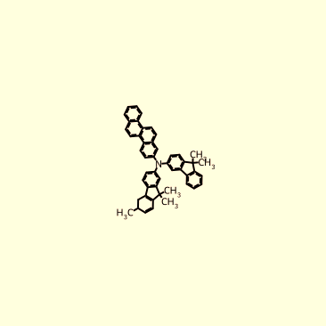 CC1C=CC2=C(C1)c1ccc(N(c3ccc4c(c3)-c3ccccc3C4(C)C)c3ccc4c(ccc5c6ccccc6ccc45)c3)cc1C2(C)C